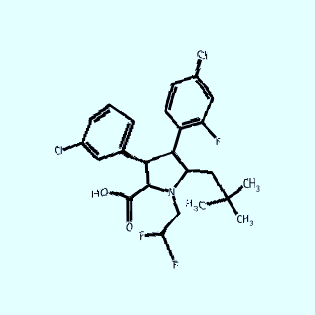 CC(C)(C)CC1C(c2ccc(Cl)cc2F)C(c2cccc(Cl)c2)C(C(=O)O)N1CC(F)F